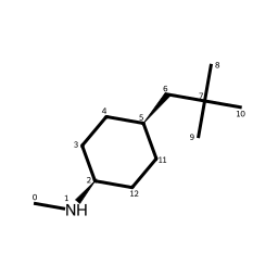 CN[C@H]1CC[C@@H](CC(C)(C)C)CC1